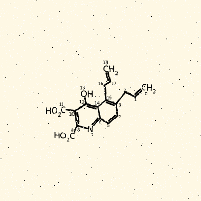 C=CCc1ccc2nc(C(=O)O)c(C(=O)O)c(O)c2c1CC=C